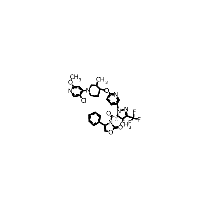 COc1cc(N2CCC(Oc3ccc(N4N=C(C(F)(F)F)[C@@H](C)[C@@H]4C(=O)N4C(=O)OCC4c4ccccc4)cn3)C(C)C2)c(Cl)cn1